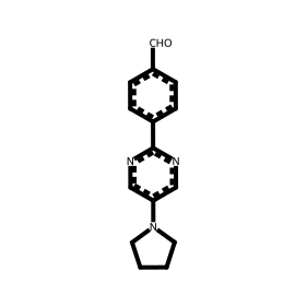 O=Cc1ccc(-c2ncc(N3CCCC3)cn2)cc1